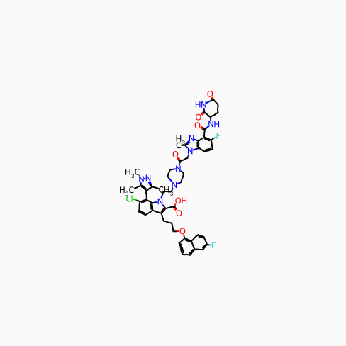 Cc1nn(C)c(C)c1-c1c(Cl)ccc2c(CCCOc3cccc4cc(F)ccc34)c(C(=O)O)n(CCN3CCN(C(=O)Cn4c(C)nc5c(C(=O)NC6CCC(=O)NC6=O)c(F)ccc54)CC3)c12